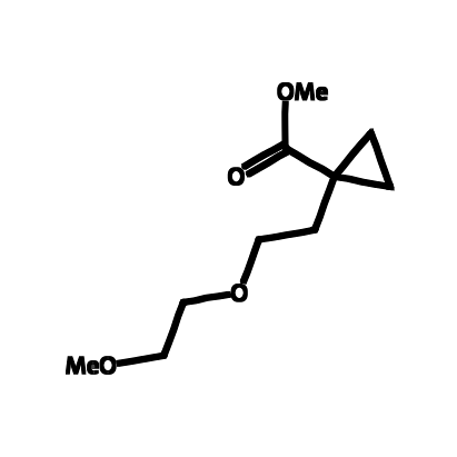 COCCOCCC1(C(=O)OC)CC1